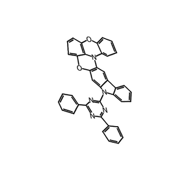 c1ccc(-c2nc(-c3ccccc3)nc(-n3c4ccccc4c4cc5c(cc43)Oc3cccc4c3N5c3ccccc3O4)n2)cc1